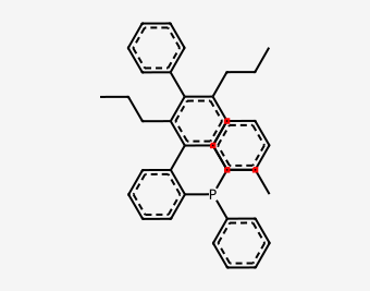 CCCc1cc(CCC)c(-c2ccccc2P(c2ccccc2)c2ccccc2)c(CCC)c1-c1ccccc1